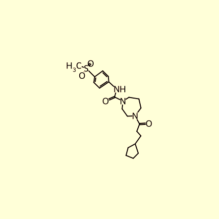 CS(=O)(=O)c1ccc(NC(=O)N2CCCN(C(=O)CCC3CCCC3)CC2)cc1